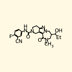 CCC(O)C1CN(C)C(=O)c2c3c(nn2C1)CCN(C(=O)Nc1ccc(F)c(C#N)c1)C3